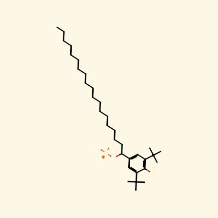 CCCCCCCCCCCCCCCCCCC(OP(=O)(O)O)c1cc(C(C)(C)C)c(O)c(C(C)(C)C)c1